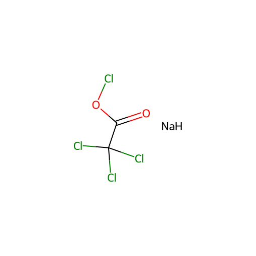 O=C(OCl)C(Cl)(Cl)Cl.[NaH]